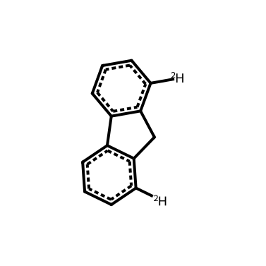 [2H]c1cccc2c1Cc1c([2H])cccc1-2